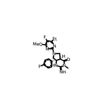 CCc1nc(N2C[C@H]3C(=O)N(C)C(=N)N[C@@]3(c3ccc(F)cc3)C2)nc(OC)c1F